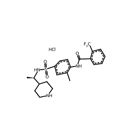 Cc1cc(S(=O)(=O)N[C@H](C)C2CCNCC2)ccc1NC(=O)c1ccccc1C(F)(F)F.Cl